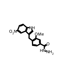 COc1cc(C(=O)NN)ccc1Cc1c[nH]c2ccc([N+](=O)[O-])cc12